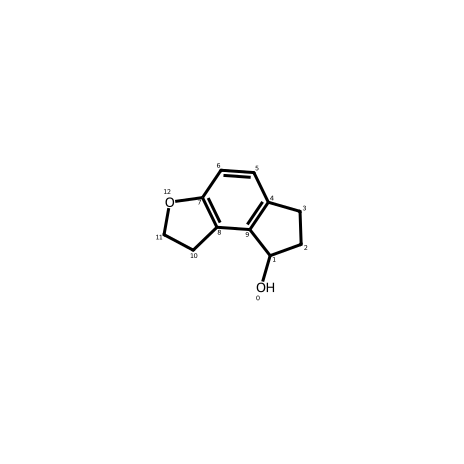 OC1CCc2ccc3c(c21)CCO3